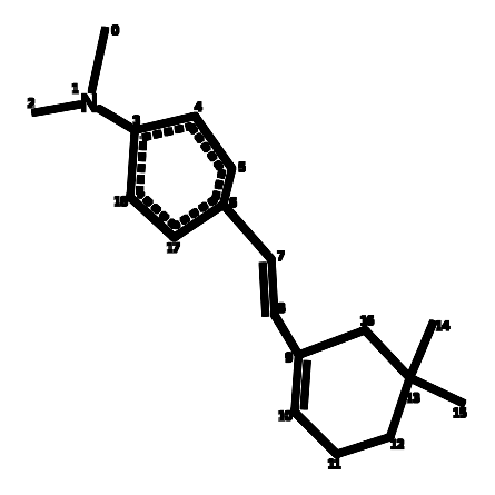 CN(C)c1ccc(C=CC2=CCCC(C)(C)C2)cc1